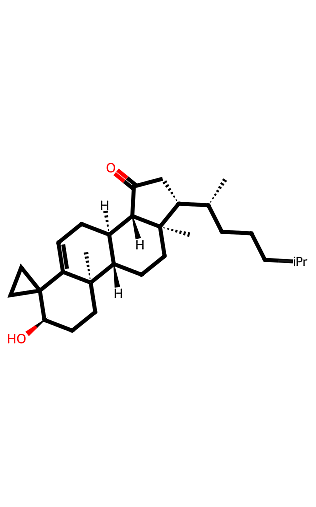 CC(C)CCC[C@@H](C)[C@H]1CC(=O)[C@H]2[C@@H]3CC=C4C5(CC5)[C@H](O)CC[C@]4(C)[C@H]3CC[C@]12C